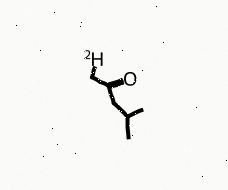 [2H]CC(=O)CC(C)C